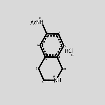 CC(=O)Nc1ccc2c(c1)CCNC2.Cl